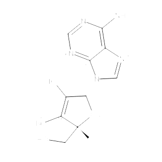 CC[C@]1(CO)O[C@@H](n2cnc3c(N)ncnc32)C(O)=C1C(C)(C)C